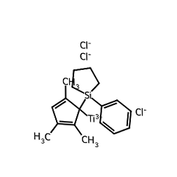 CC1=CC(C)=C(C)[C]1([Ti+3])[Si]1(c2ccccc2)CCCC1.[Cl-].[Cl-].[Cl-]